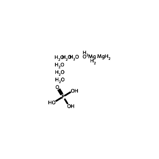 O.O.O.O.O.O.O.O=P(O)(O)O.[MgH2].[MgH2]